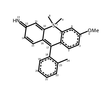 COc1ccc2c(c1)S(C)(C)C1=CC(=N)C=CC1=C2c1ccccc1C